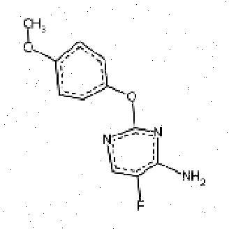 COc1ccc(Oc2ncc(F)c(N)n2)cc1